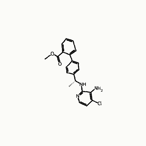 COC(=O)c1ccccc1-c1ccc([C@@H](C)Nc2nccc(Cl)c2N)cc1